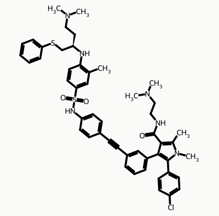 Cc1cc(S(=O)(=O)Nc2ccc(C#Cc3cccc(-c4c(C(=O)NCCN(C)C)c(C)n(C)c4-c4ccc(Cl)cc4)c3)cc2)ccc1N[C@H](CCN(C)C)CSc1ccccc1